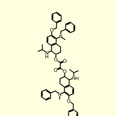 CC(C)NC1c2ccc(OCc3ccccc3)c(N(C)Cc3ccccc3)c2CCC1OC(=O)C(=O)OC1CCc2c(ccc(OCc3ccccc3)c2N(C)Cc2ccccc2)C1NC(C)C